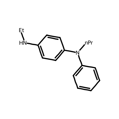 CCCN(c1ccccc1)c1ccc(NCC)cc1